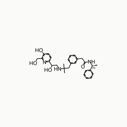 C[C@H](NC(=O)Cc1cccc(CC(C)(C)NCC(O)c2ccc(O)c(CO)n2)c1)c1ccccc1